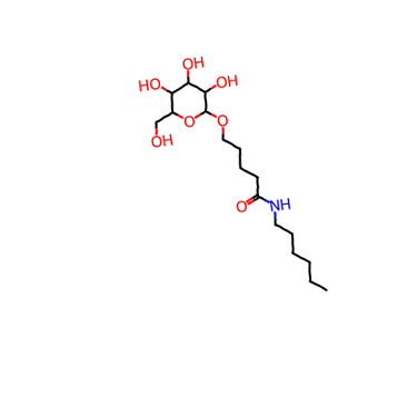 CCCCCCNC(=O)CCCCOC1OC(CO)C(O)C(O)C1O